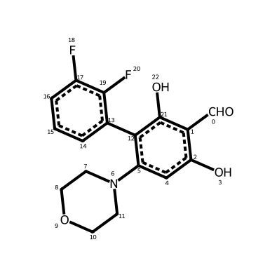 O=Cc1c(O)cc(N2CCOCC2)c(-c2cccc(F)c2F)c1O